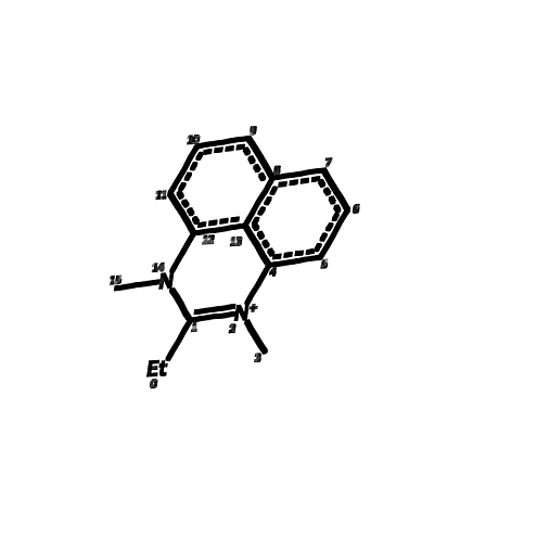 CCC1=[N+](C)c2cccc3cccc(c23)N1C